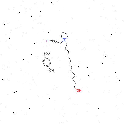 Cc1ccc(S(=O)(=O)O)cc1.OCCCCCCCCCCCC[N+]1(CC#CI)CCCC1